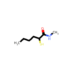 CCCCC(S)C(=O)NC